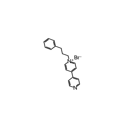 [Br-].c1ccc(CCC[n+]2ccc(-c3ccncc3)cc2)cc1